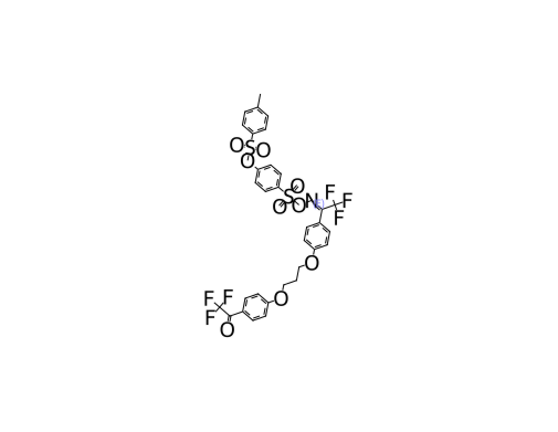 Cc1ccc(S(=O)(=O)Oc2ccc(S(=O)(=O)O/N=C(\c3ccc(OCCCOc4ccc(C(=O)C(F)(F)F)cc4)cc3)C(F)(F)F)cc2)cc1